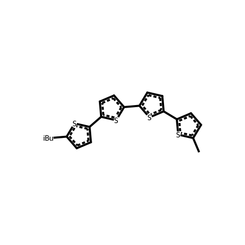 CCC(C)c1ccc(-c2ccc(-c3ccc(-c4ccc(C)s4)s3)s2)s1